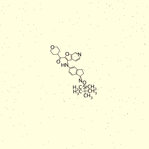 CC(C)(C)[Si](C)(C)ON=C1CCc2cc(Nc3c(C(=O)C4CCOCC4)oc4cnccc34)ccc21